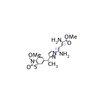 COCn1c(=O)sc2cc(C(C)c3ccn(/C(N)=C/C=C(\N)C(=O)OC)n3)ccc21